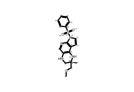 COC[C@]1(C)CNc2cnc3c(ccn3S(=O)(=O)c3ccccc3)c2N1